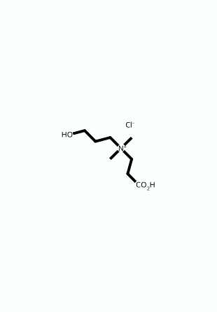 C[N+](C)(CCCO)CCC(=O)O.[Cl-]